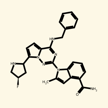 Cc1cc2c(C(N)=O)cccc2n1-c1nc(NCc2ccccc2)c2ccc(C3C[C@@H](F)CN3)n2n1